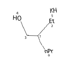 CCCC(CC)CO.[KH]